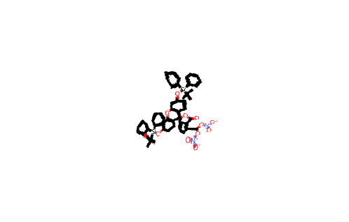 CC(C)(C)[Si](Oc1ccc2c(c1)Oc1cc(O[Si](c3ccccc3)(c3ccccc3)C(C)(C)C)ccc1C21OC(=O)c2c(C(O[N+](=O)[O-])O[N+](=O)[O-])cccc21)(c1ccccc1)c1ccccc1